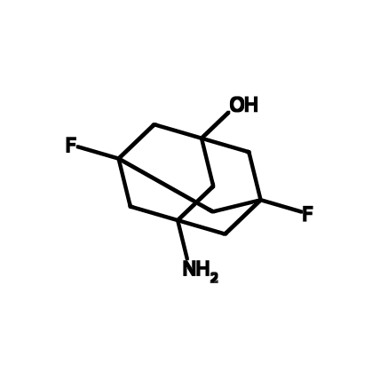 NC12CC3(O)CC(F)(C1)CC(F)(C2)C3